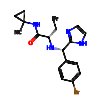 CC(C)C[C@H](N[C@@H](c1ccc(Br)cc1)c1ncc[nH]1)C(=O)NC1(C#N)CC1